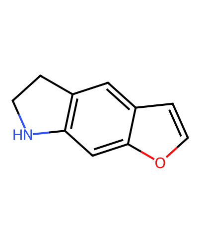 c1cc2cc3c(cc2o1)NCC3